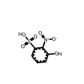 O=[N+]([O-])c1c(O)[c]ccc1S(=O)(=O)O